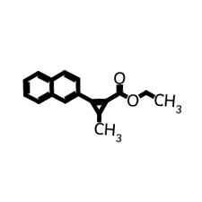 CCOC(=O)C1=C(c2ccc3ccccc3c2)C1C